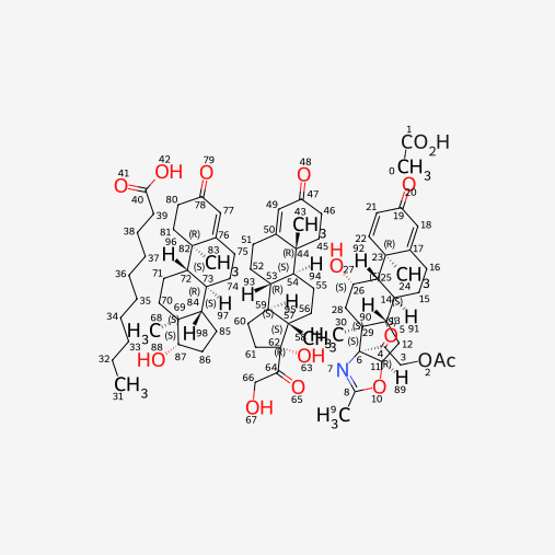 CC(=O)O.CC(=O)OCC(=O)[C@@]12N=C(C)O[C@@H]1C[C@H]1[C@@H]3CCC4=CC(=O)C=C[C@]4(C)[C@H]3[C@@H](O)C[C@@]12C.CCCCCCCCCC(=O)O.C[C@]12CCC(=O)C=C1CC[C@@H]1[C@@H]2CC[C@@]2(C)[C@H]1CC[C@]2(O)C(=O)CO.C[C@]12CC[C@H]3[C@@H](CCC4=CC(=O)CC[C@@]43C)[C@@H]1CC[C@@H]2O